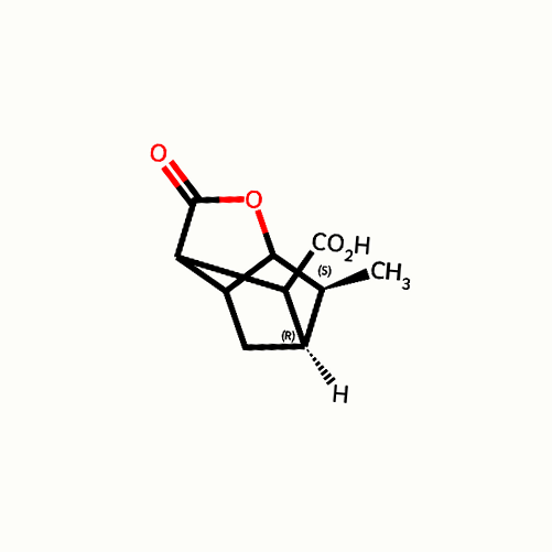 C[C@@H]1C2OC(=O)C3C2C[C@H]1C3C(=O)O